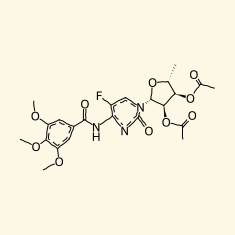 COc1cc(C(=O)Nc2nc(=O)n([C@@H]3O[C@H](C)[C@@H](OC(C)=O)[C@H]3OC(C)=O)cc2F)cc(OC)c1OC